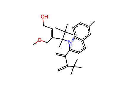 C=C(C(=C)C(C)(C)C)c1ccc2cc(C)ccc2[n+]1C(C)(/C(=C/CO)COC)C(C)(C)C